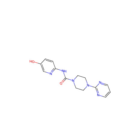 O=C(Nc1ccc(O)cn1)N1CCN(c2ncccn2)CC1